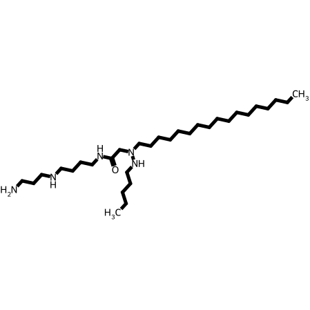 CCCCCCCCCCCCCCCCCN(CC(=O)NCCCCNCCCN)NCCCCC